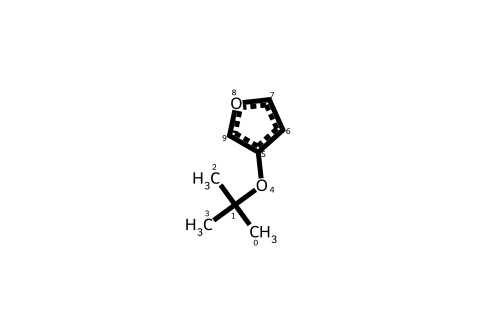 CC(C)(C)Oc1ccoc1